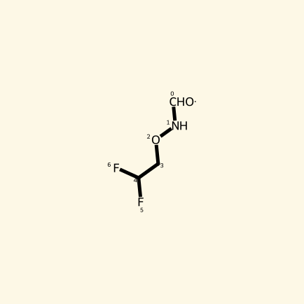 O=[C]NOCC(F)F